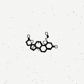 CC12C(=CC(=O)CC1SC=O)CCC1C2CCC2(C)C1CCC21CCC(=O)O1